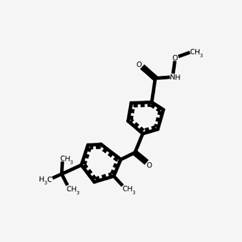 CONC(=O)c1ccc(C(=O)c2ccc(C(C)(C)C)cc2C)cc1